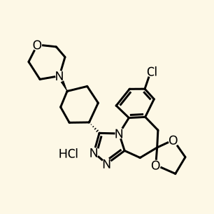 Cl.Clc1ccc2c(c1)CC1(Cc3nnc([C@H]4CC[C@H](N5CCOCC5)CC4)n3-2)OCCO1